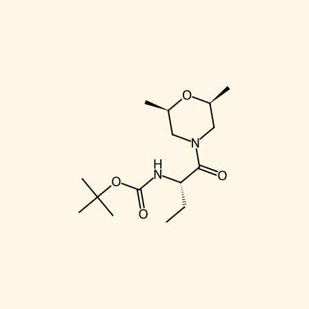 CC[C@H](NC(=O)OC(C)(C)C)C(=O)N1C[C@@H](C)O[C@@H](C)C1